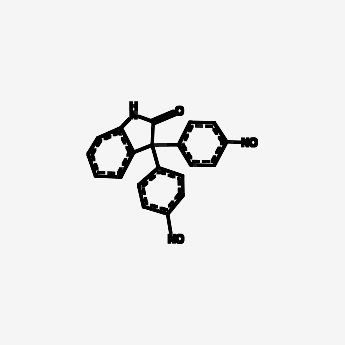 O=Nc1ccc(C2(c3ccc(N=O)cc3)C(=O)Nc3ccccc32)cc1